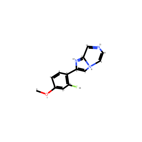 COc1ccc(-c2cn3ccncc3n2)c(F)c1